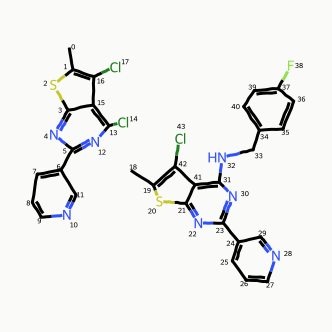 Cc1sc2nc(-c3cccnc3)nc(Cl)c2c1Cl.Cc1sc2nc(-c3cccnc3)nc(NCc3ccc(F)cc3)c2c1Cl